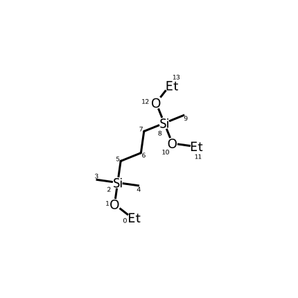 CCO[Si](C)(C)CCC[Si](C)(OCC)OCC